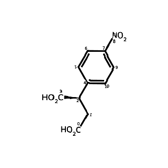 O=C(O)C[C@@H](C(=O)O)c1ccc([N+](=O)[O-])cc1